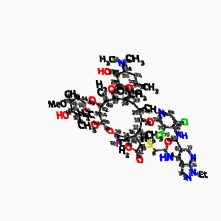 CCn1ncc2c(NCCS[C@@H]3C(=O)O[C@@]4(C)[C@H]3[C@@H](C)C(=O)[C@H](C)C[C@@](C)(OC)[C@H](O[C@@H]3O[C@H](C)C[C@H](N(C)C)[C@H]3O)[C@@H](C)[C@H](O[C@H]3C[C@@](C)(OC)[C@@H](O)[C@H](C)O3)[C@@H](C)C(=O)O[C@@H]4I)c(C(=O)Nc3c(Cl)cncc3Cl)cnc21